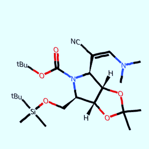 CN(C)/C=C(/C#N)[C@H]1[C@@H]2OC(C)(C)O[C@@H]2[C@@H](CO[Si](C)(C)C(C)(C)C)N1C(=O)OC(C)(C)C